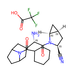 N#C[C@@H]1C[C@@H]2C[C@@H]2N1C(=O)[C@@H](N)C1CC2CCC(C1)N2C(=O)C1CCCCC1.O=C(O)C(F)(F)F